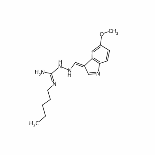 CCCCCN=C(N)NNC=C1C=Nc2ccc(OC)cc21